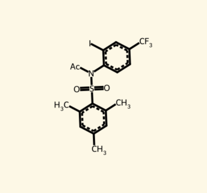 CC(=O)N(c1ccc(C(F)(F)F)cc1I)S(=O)(=O)c1c(C)cc(C)cc1C